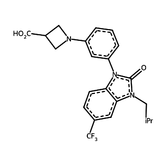 CC(C)Cn1c(=O)n(-c2cccc(N3CC(C(=O)O)C3)c2)c2ccc(C(F)(F)F)cc21